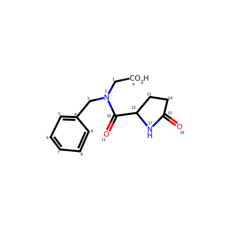 O=C(O)CN(Cc1ccccc1)C(=O)C1CCC(=O)N1